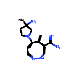 C=C1/C(C(=N)N)=C\N/N=C\C=C/1N1CCC(N)(CCCC)C1